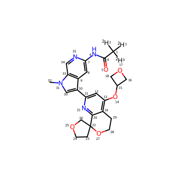 [2H]C([2H])([2H])C(=O)Nc1cc2c(-c3cc(OC4COC4)c4c(n3)C3(CCOC3)OCC4)cn(C)c2cn1